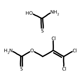 NC(=S)OCC(Cl)=C(Cl)Cl.NC(O)=S